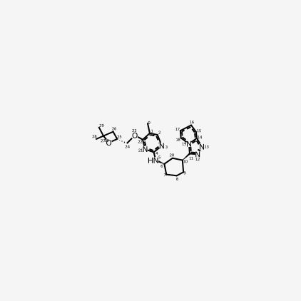 Cc1cnc(N[C@@H]2CCC[C@H](c3nnc4ccccn34)C2)nc1OC[C@H]1CC(C)(C)O1